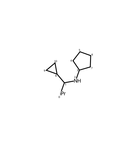 CC(C)C(NC1CCCC1)C1CC1